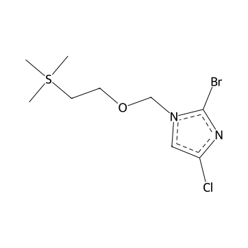 CS(C)(C)CCOCn1cc(Cl)nc1Br